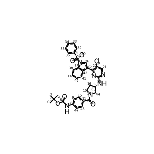 CC(C)(C)OC(=O)Nc1ccc(C(=O)N2CC[C@H](Nc3ncc(Cl)c(-c4cn(S(=O)(=O)c5ccccc5)c5ccccc45)n3)C2)cc1